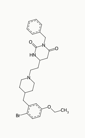 CCOc1ccc(Br)c(CC2CCN(CCC3CC(=O)N(Cc4ccccc4)C(=O)N3)CC2)c1